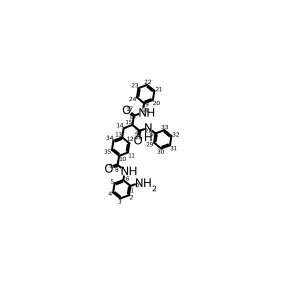 Nc1ccccc1NC(=O)c1ccc(CC(C(=O)Nc2ccccc2)C(=O)Nc2ccccc2)cc1